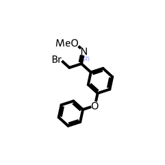 CO/N=C(\CBr)c1cccc(Oc2ccccc2)c1